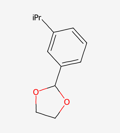 [CH2]C([CH2])c1cccc(C2OCCO2)c1